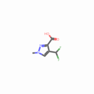 Cn1cc(C(F)F)c(C(=O)O)n1